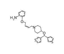 Nc1ccccc1OC/C=C\CN1CCC(OC(c2ccsc2)c2ccsc2)CC1